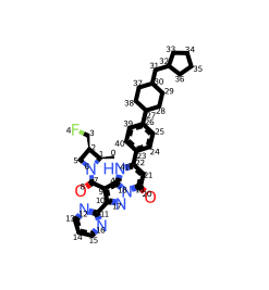 C[C@@H]1[C@H](CF)CN1C(=O)c1c(-c2ncccn2)nn2c(=O)cc(-c3ccc(C4CCC(CC5CCCC5)CC4)cc3)[nH]c12